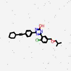 CC(C)COCc1ccc(Cl)c(-c2nc(O)nc(-c3ccc(C#CC4CCCCC4)cc3)n2)c1